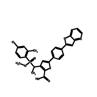 COP(=O)(c1ccc(Cl)cc1C)N(C)c1cc(-c2ccc(-c3cc4ncccc4o3)cc2)sc1C(=O)O